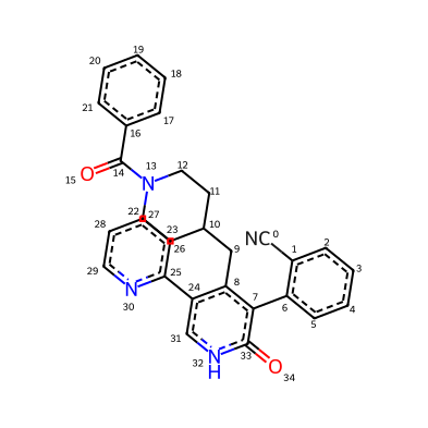 N#Cc1ccccc1-c1c(CC2CCN(C(=O)c3ccccc3)CC2)c(-c2ccccn2)c[nH]c1=O